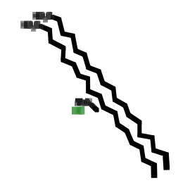 C=CCCCCCCCCCCCCCCCCC(=O)O.C=CCCCCCCCCCCCCCCCCC(=O)O.CNC.Cl